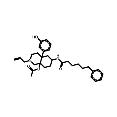 C=CCN1CCC2(c3cccc(O)c3)CC(NC(=O)CCCCCc3ccccc3)CCC2(OC(C)=O)C1